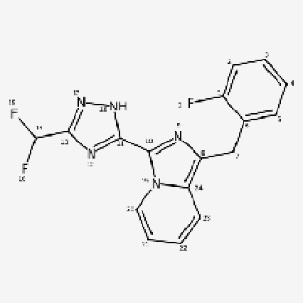 Fc1ccccc1Cc1nc(-c2nc(C(F)F)n[nH]2)n2ccccc12